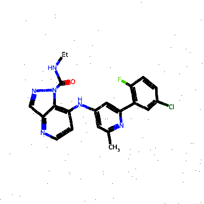 CCNC(=O)n1ncc2nccc(Nc3cc(C)nc(-c4cc(Cl)ccc4F)c3)c21